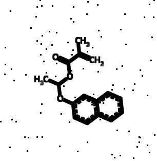 C=C(C)C(=O)OC(C)Oc1ccc2ccccc2c1